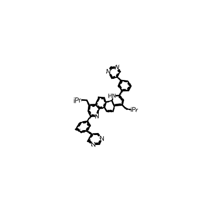 CC(C)CC1=C2C=Cc3c(ccc4c(CC(C)C)cc(-c5cccc(-c6cncnc6)c5)nc34)C2NC(c2cccc(-c3cncnc3)c2)=C1